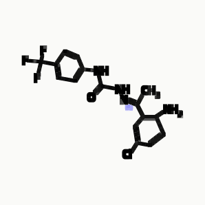 C/C(=N\NC(=O)Nc1ccc(C(F)(F)F)cc1)c1cc(Cl)ccc1N